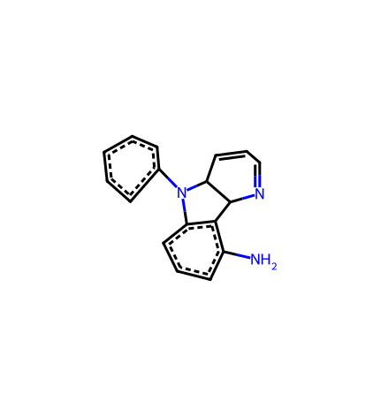 Nc1cccc2c1C1N=CC=CC1N2c1ccccc1